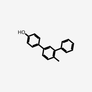 Cc1ccc(-c2ccc(O)cc2)cc1-c1ccccc1